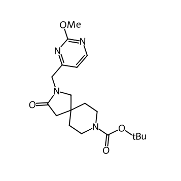 COc1nccc(CN2CC3(CCN(C(=O)OC(C)(C)C)CC3)CC2=O)n1